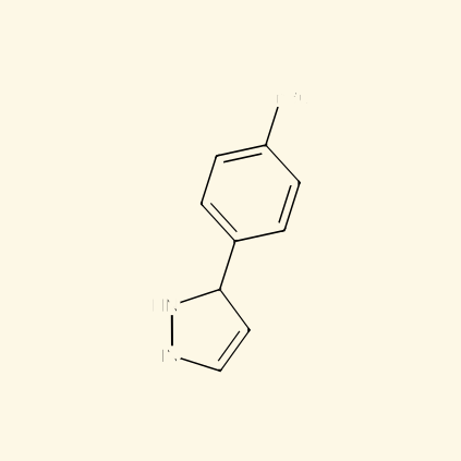 CCCCc1ccc(C2C=CNN2)cc1